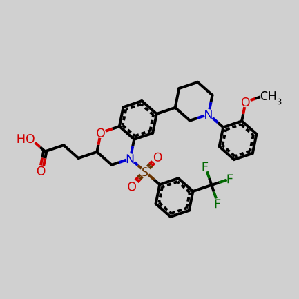 COc1ccccc1N1CCCC(c2ccc3c(c2)N(S(=O)(=O)c2cccc(C(F)(F)F)c2)CC(CCC(=O)O)O3)C1